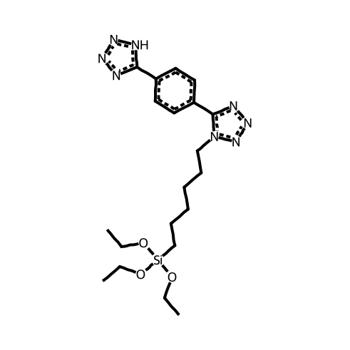 CCO[Si](CCCCCCn1nnnc1-c1ccc(-c2nnn[nH]2)cc1)(OCC)OCC